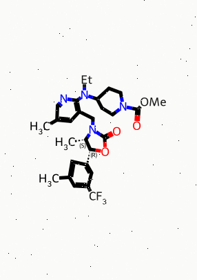 CCN(c1ncc(C)cc1CN1C(=O)O[C@H](c2cc(C)cc(C(F)(F)F)c2)[C@@H]1C)C1CCN(C(=O)OC)CC1